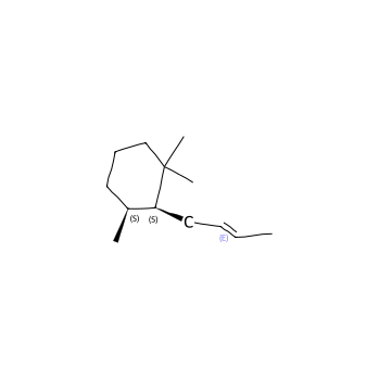 C/C=C/C[C@H]1[C@@H](C)CCCC1(C)C